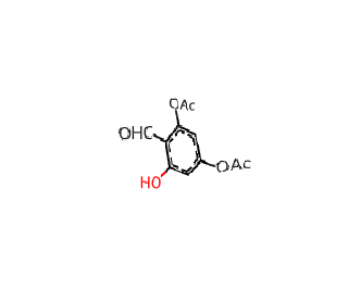 CC(=O)Oc1cc(O)c(C=O)c(OC(C)=O)c1